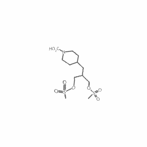 CS(=O)(=O)OCC(COS(C)(=O)=O)CC1CCN(C(=O)O)CC1